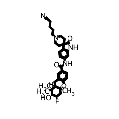 CC1(C)[C@H](O)[C@H](F)C[C@@]2(C)Oc3ccc(C(=O)Nc4ccc5c(c4)NC(=O)C54CCN(CCCCC#N)CC4)cc3C[C@H]12